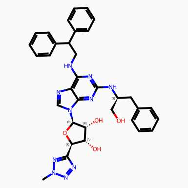 Cn1nnc([C@H]2O[C@@H](n3cnc4c(NCC(c5ccccc5)c5ccccc5)nc(N[C@H](CO)Cc5ccccc5)nc43)[C@H](O)[C@@H]2O)n1